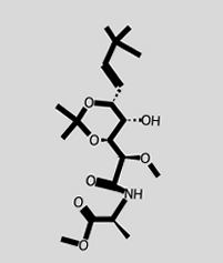 COC(=O)[C@H](C)NC(=O)[C@H](OC)[C@@H]1OC(C)(C)O[C@H](/C=C/C(C)(C)C)[C@@H]1O